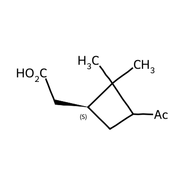 CC(=O)C1C[C@@H](CC(=O)O)C1(C)C